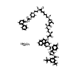 Cc1nc(N(C)CCCCCC(=O)N(C)CCN2CCC(OC(=O)Nc3ccccc3-c3ccccc3)CC2)sc1C(=O)N(C)CCCN(C)C(=O)CO[C@H]1Cc2ccccc2C12CCN(CC[C@]1(c3ccc(F)cc3)CN(C(=O)c3cc(C(F)(F)F)cc(C(F)(F)F)c3)CO1)CC2.Cl.Cl.Cl